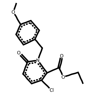 CCOC(=O)c1c(Cl)ccc(=O)n1Cc1ccc(OC)cc1